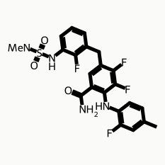 CNS(=O)(=O)Nc1cccc(Cc2cc(C(N)=O)c(Nc3ccc(C)cc3F)c(F)c2F)c1F